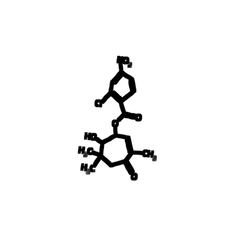 CC1=CC(OC(=O)c2ccc([N+](=O)[O-])cc2Cl)C(O)C(C)(C)CC1=O